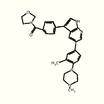 Cc1cc(-c2cnc3[nH]cc(-c4ccc(C(=O)N5CCOC5)cc4)c3c2)ccc1N1CCN(C)CC1